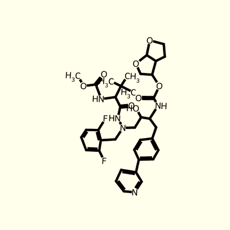 COC(=O)NC(C(=O)NN(Cc1c(F)cccc1F)CC(O)C(Cc1ccc(-c2cccnc2)cc1)NC(=O)OC1COC2OCCC12)C(C)(C)C